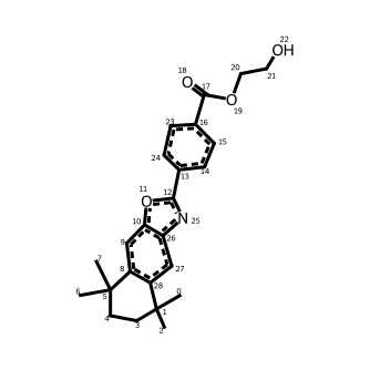 CC1(C)CCC(C)(C)c2cc3oc(-c4ccc(C(=O)OCCO)cc4)nc3cc21